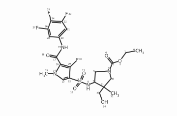 CCOC(=O)N1CC(NS(=O)(=O)c2cn(C)c(C(=O)Nc3cc(F)c(F)c(F)c3)c2F)C(C)(CO)C1